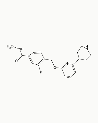 CNC(=O)c1ccc(COc2cccc(C3CCNCC3)n2)c(F)c1